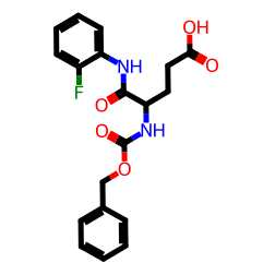 O=C(O)CCC(NC(=O)OCc1ccccc1)C(=O)Nc1ccccc1F